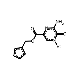 CCn1cc(C(=O)OCc2ccsc2)nc(N)c1=O